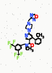 Cc1ccccc1-c1cc(N2CCN(Cc3ncon3)CC2)ncc1C(=O)N(C)Cc1cc(C(F)(F)F)cc(C(F)(F)F)c1